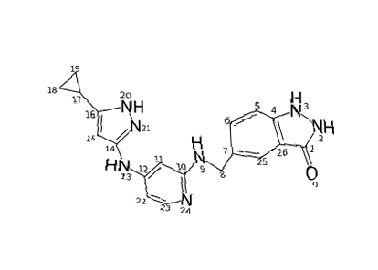 O=c1[nH][nH]c2ccc(CNc3cc(Nc4cc(C5CC5)[nH]n4)ccn3)cc12